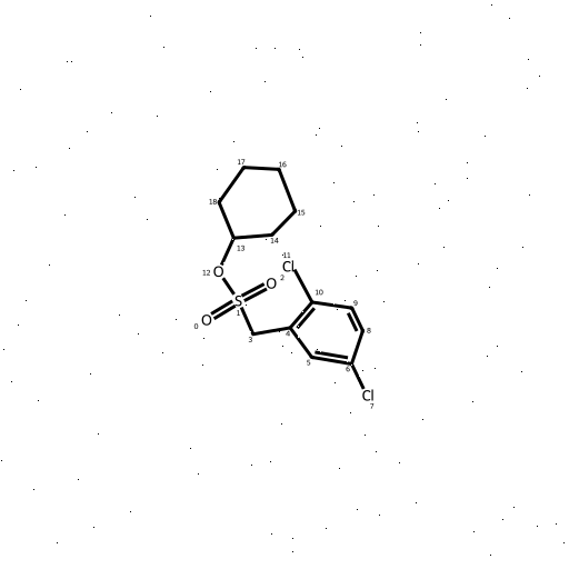 O=S(=O)(Cc1cc(Cl)ccc1Cl)OC1CCCCC1